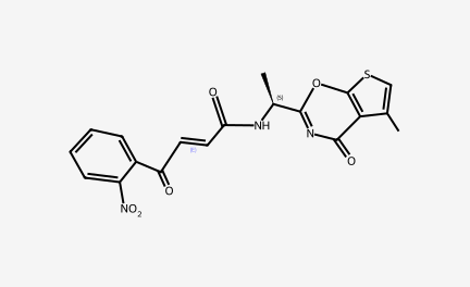 Cc1csc2oc([C@H](C)NC(=O)/C=C/C(=O)c3ccccc3[N+](=O)[O-])nc(=O)c12